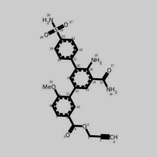 C#CCOC(=O)c1ccc(OC)c(-c2cc(C(N)=O)c(N)c(-c3ccc(S(N)(=O)=O)cc3)c2)c1